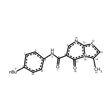 CCCCc1ccc(NC(=O)c2cnc3scc(C)n3c2=O)cc1